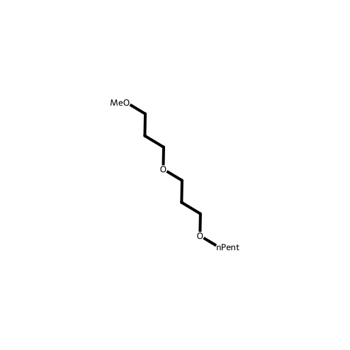 CCCCCOCCCOCCCOC